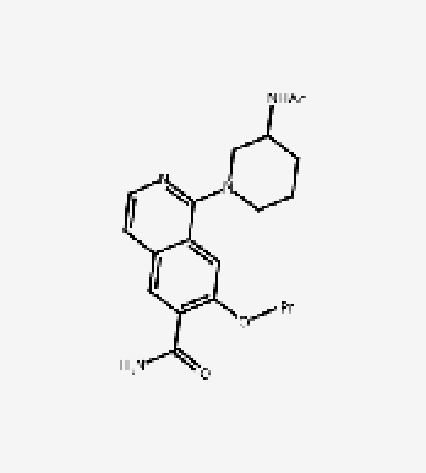 CC(=O)NC1CCCN(c2nccc3cc(C(N)=O)c(OC(C)C)cc23)C1